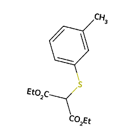 CCOC(=O)C(Sc1cccc(C)c1)C(=O)OCC